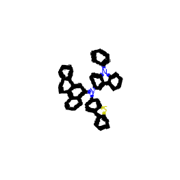 c1ccc(-n2c3ccccc3c3cc(N(c4ccc5c(c4)sc4ccccc45)c4cc5c6ccccc6ccc5c5ccccc45)ccc32)cc1